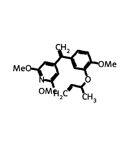 C=CC(C)Oc1cc(C(=C)c2cc(OC)nc(OC)c2)ccc1OC